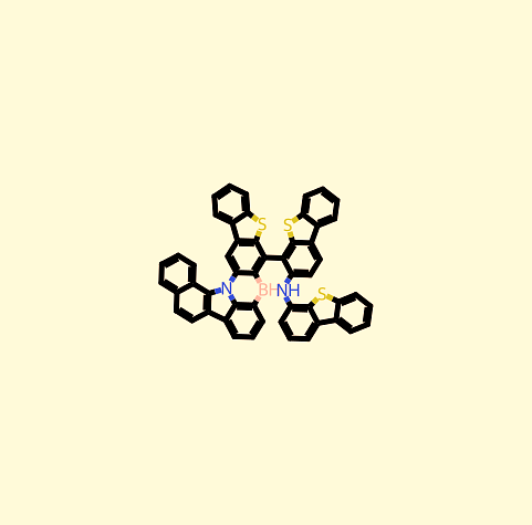 B1c2c(cc3c(sc4ccccc43)c2-c2c(Nc3cccc4c3sc3ccccc34)ccc3c2sc2ccccc23)-n2c3c1cccc3c1ccc3ccccc3c12